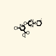 COC(=O)c1cc(Cl)nc(Oc2cnc(N3CCC[C@@H](C)C3)nc2)c1